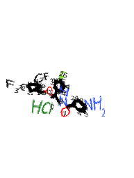 Cl.Nc1ccc(C(=O)NCC(COCc2cc(C(F)(F)F)cc(C(F)(F)F)c2)c2ccc(F)cc2)cc1